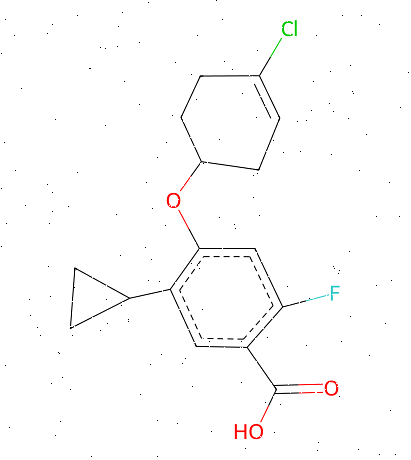 O=C(O)c1cc(C2CC2)c(OC2CC=C(Cl)CC2)cc1F